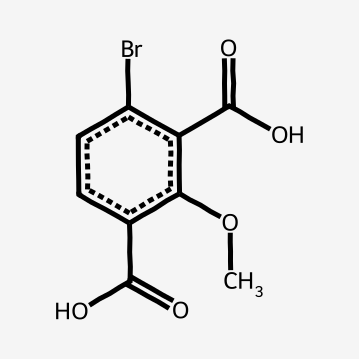 COc1c(C(=O)O)ccc(Br)c1C(=O)O